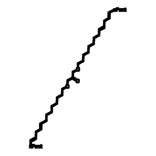 CCCCCC=CCC=CCCCCCCCCOCC(=O)COCCCCCCCCC=CCC=CCCCCC